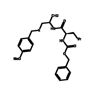 COc1ccc(CSCC(C=O)NC(=O)[C@@H](CC(C)C)NC(=O)OCc2ccccc2)cc1